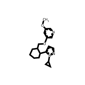 COc1cncc(OCC2CCCCC2c2ccnn2C2CC2)c1